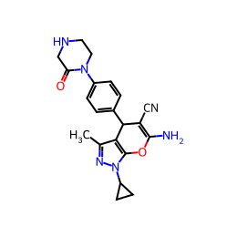 Cc1nn(C2CC2)c2c1C(c1ccc(N3CCNCC3=O)cc1)C(C#N)=C(N)O2